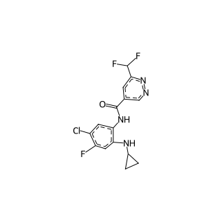 O=C(Nc1cc(Cl)c(F)cc1NC1CC1)c1cnnc(C(F)F)c1